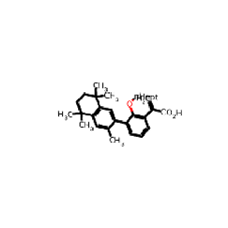 C=C(C(=O)O)c1cccc(-c2cc3c(cc2C)C(C)(C)CCC3(C)C)c1OCCCCCCC